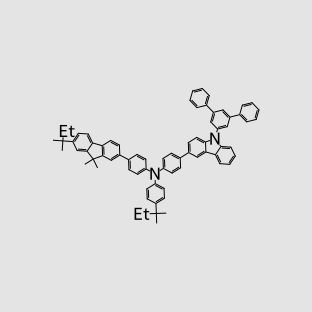 CCC(C)(C)c1ccc(N(c2ccc(-c3ccc4c(c3)C(C)(C)c3cc(C(C)(C)CC)ccc3-4)cc2)c2ccc(-c3ccc4c(c3)c3ccccc3n4-c3cc(-c4ccccc4)cc(-c4ccccc4)c3)cc2)cc1